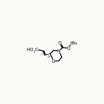 CC(C)(C)OC(=O)N1CCO[C@@H](/C=C/C(=O)O)C1